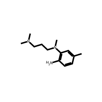 Cc1ccc(N)c(N(C)CCCN(C)C)c1